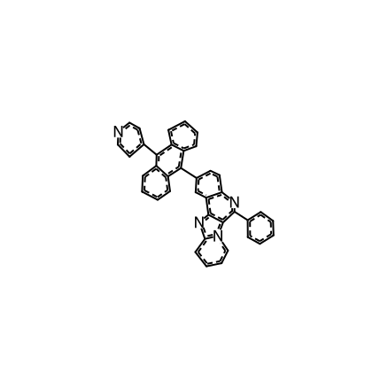 c1ccc(-c2nc3ccc(-c4c5ccccc5c(-c5ccncc5)c5ccccc45)cc3c3nc4ccccn4c23)cc1